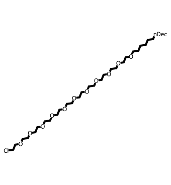 CCCCCCCCCCCCCCCCOCCOCCOCCOCCOCCOCCOCCOCCOCCOCCOCCCl